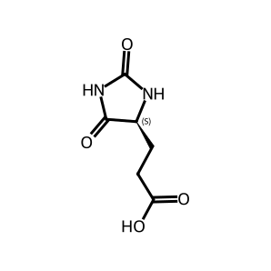 O=C(O)CC[C@@H]1NC(=O)NC1=O